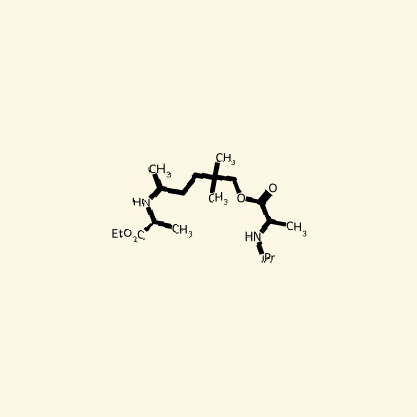 CCOC(=O)[C@H](C)NC(C)CCC(C)(C)COC(=O)C(C)NC(C)C